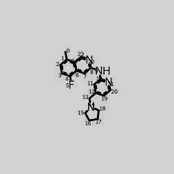 Cc1ccc(F)c2cc(Nc3cc(CN4CCCC4)ccn3)ncc12